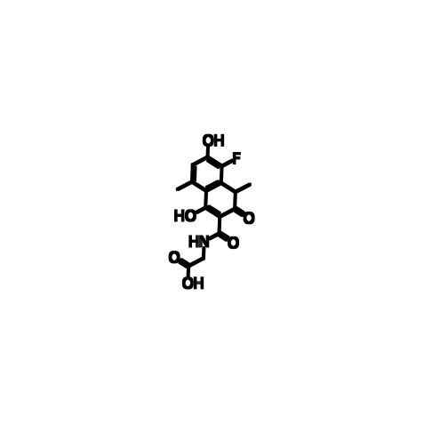 Cc1cc(O)c(F)c2c1C(O)=C(C(=O)NCC(=O)O)C(=O)C2C